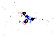 C[C@]1(C(N)=O)CC[C@@H](n2c(Nc3c(F)cc(C#N)cc3F)nc3cnc(N[C@@H]4CCC[C@@H](O)C4)nc32)CC1